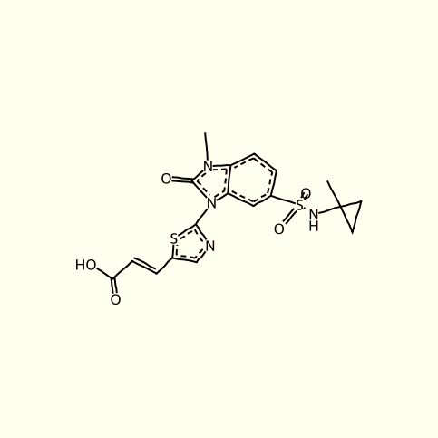 Cn1c(=O)n(-c2ncc(C=CC(=O)O)s2)c2cc(S(=O)(=O)NC3(C)CC3)ccc21